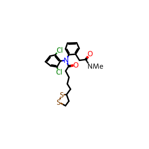 CNC(=O)Cc1ccccc1N(C(=O)CCCCC1CCSS1)c1c(Cl)cccc1Cl